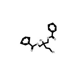 CC(C)CCC(COC(=O)c1ccccc1)(COC(=O)c1ccccc1)C(C)C